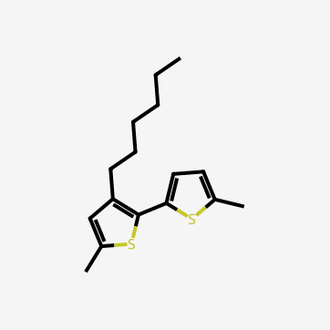 CCCCCCc1cc(C)sc1-c1ccc(C)s1